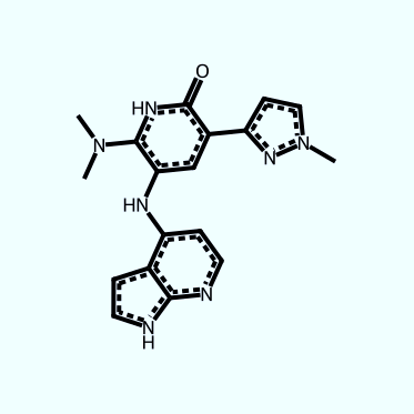 CN(C)c1[nH]c(=O)c(-c2ccn(C)n2)cc1Nc1ccnc2[nH]ccc12